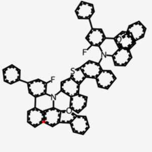 Fc1cc(-c2ccccc2)cc(-c2ccccc2)c1N(c1cc2sc3cc(N(c4c(F)cc(-c5ccccc5)cc4-c4ccccc4)c4cccc5c4oc4ccccc45)c4ccccc4c3c2c2ccccc12)c1cccc2c1oc1ccccc12